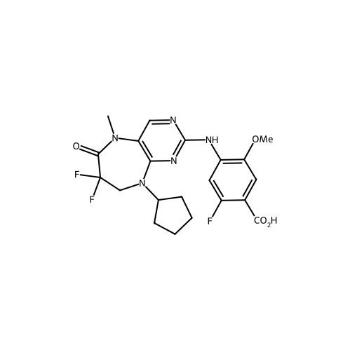 COc1cc(C(=O)O)c(F)cc1Nc1ncc2c(n1)N(C1CCCC1)CC(F)(F)C(=O)N2C